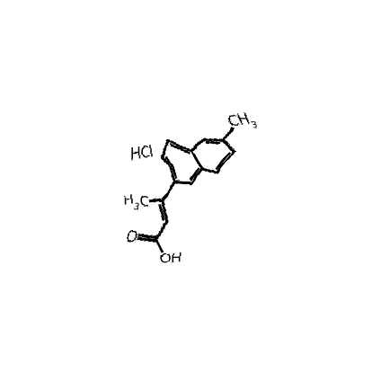 CC(=CC(=O)O)c1ccc2cc(C)ccc2c1.Cl